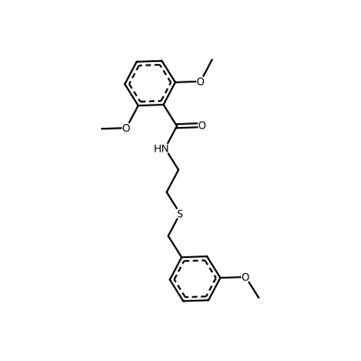 COc1cccc(CSCCNC(=O)c2c(OC)cccc2OC)c1